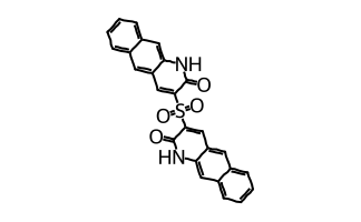 O=c1[nH]c2cc3ccccc3cc2cc1S(=O)(=O)c1cc2cc3ccccc3cc2[nH]c1=O